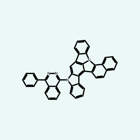 c1ccc(-c2nnc(-n3c4ccccc4c4c5c6ccc7ccccc7c6n6c7ccccc7c(cc43)c56)c3ccccc23)cc1